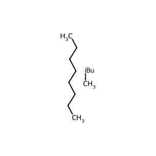 CCC(C)C.CCCCCCCC